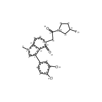 Cn1cc(-c2ccc(Cl)c(Cl)c2)c2c(=O)n(CC(=O)N3CCC(F)C3)ccc21